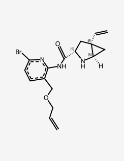 C=CCOCc1ccc(Br)nc1NC(=O)[C@@H]1C[C@@]2(C=C)C[C@H]2N1